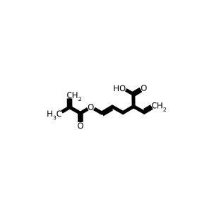 C=CC(CC=COC(=O)C(=C)C)C(=O)O